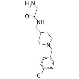 NCC(=O)NCC1CCN(Cc2ccc(Cl)cc2)CC1